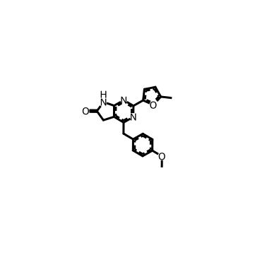 COc1ccc(Cc2nc(-c3ccc(C)o3)nc3c2CC(=O)N3)cc1